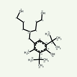 Cc1c(CN(CCCO)CCCO)cc(C(C)(C)C)c(O)c1C(C)(C)C